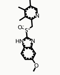 COc1ccc2[nH]c([S@+]([O-])Cc3ncc(C)c(C)c3C)nc2c1